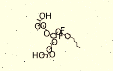 C=C(CO)C(=O)OCCOc1cc(OCCOC(=O)C(=C)CO)cc(OC(F)(F)c2ccc(CCCCC)cc2)c1